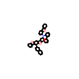 c1ccc(-c2ccccc2N(c2ccc3oc4c(-c5ccc6ccccc6c5)c5c(cc4c3c2)oc2ccccc25)c2cccc3c2oc2ccccc23)cc1